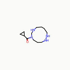 O=C(C1CC1)N1CCCNNCCCCNC1